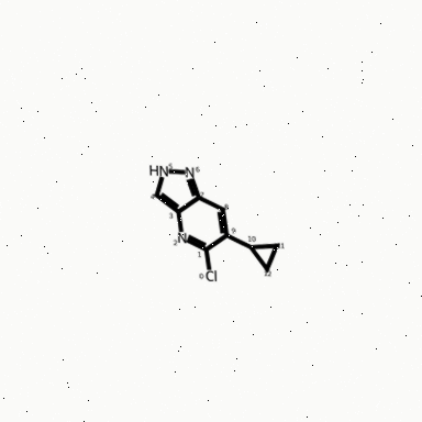 Clc1nc2c[nH]nc2cc1C1CC1